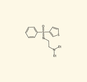 CCN(CC)CCN=S(=O)(c1ccccc1)c1ccsc1